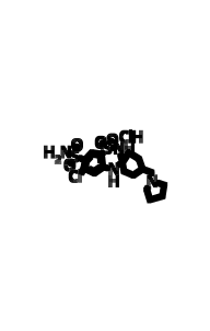 Cl.NS(=O)(=O)c1cc2c(cc1Cl)NC1(CCC(CN3CCCC3)CC1)NS2(=O)=O